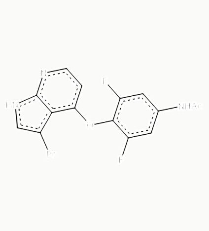 CC(=O)Nc1cc(F)c(Oc2ccnc3[nH]cc(Br)c23)c(F)c1